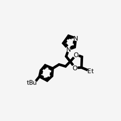 CCC1COC(CCc2ccc(C(C)(C)C)cc2)(Cn2ccnc2)O1